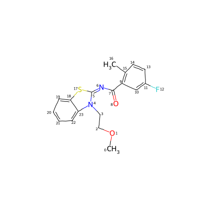 COCCn1c(=NC(=O)c2cc(F)ccc2C)sc2ccccc21